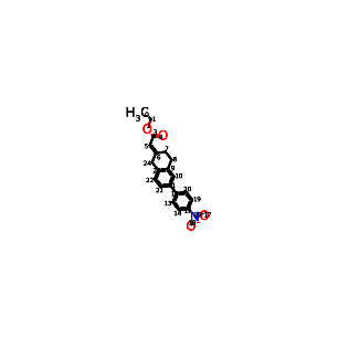 CCOC(=O)/C=C1\CCc2cc(-c3ccc([N+](=O)[O-])cc3)ccc2C1